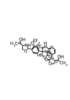 C[C@H](Nc1nccc(N2C(=O)OC[C@@H]2[C@@H](C)O)n1)C1(c2ccc(C3NC([C@@H](C)O)CO3)c(OC(F)(F)F)c2F)NOC(=O)N1